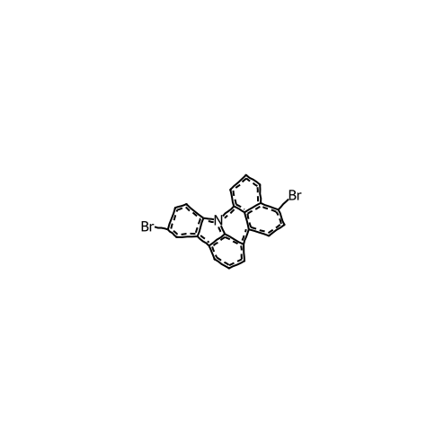 Brc1ccc2c(c1)c1cccc3c4ccc(Br)c5cccc(c54)n2c31